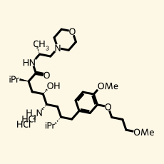 COCCCOc1cc(C[C@@H](C[C@H](N)[C@@H](O)C[C@H](C(=O)N[C@H](C)CN2CCOCC2)C(C)C)C(C)C)ccc1OC.Cl.Cl